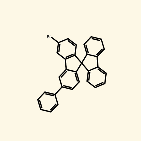 Brc1ccc2c(c1)-c1cc(-c3ccccc3)ccc1C21c2ccccc2-c2ccccc21